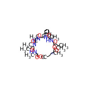 CCC(C)C1NC(=O)CN(C)C(=O)[C@@H](Cc2ccccc2)N(C)C(=O)[C@H](C)NC(=O)[C@@H](CC(C)C)OC(=O)/C(C)=C/CCCCOC(=O)[C@H](CC)NC1=O